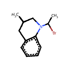 CC1Cc2ccccc2N(C(C)Br)C1